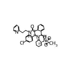 CS(=O)(=O)N[C@H]1CCCC[C@@H]1N1C(=O)c2ccccc2[C@@H](C(=O)NCCc2ccccn2)[C@@H]1c1ccc(Cl)cc1